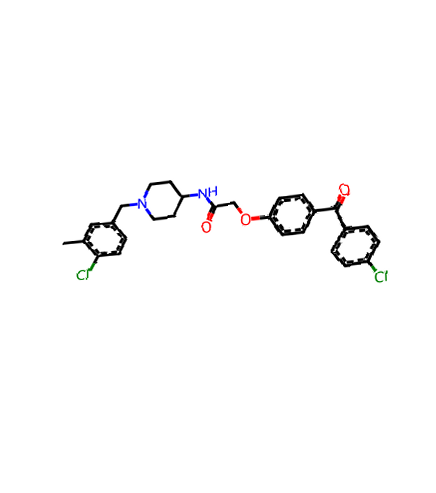 Cc1cc(CN2CCC(NC(=O)COc3ccc(C(=O)c4ccc(Cl)cc4)cc3)CC2)ccc1Cl